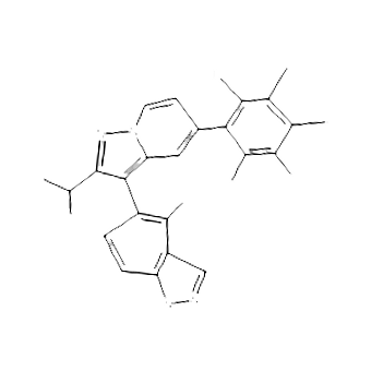 Cc1c(F)c(F)c(F)c(-c2ccn3nc(C(C)C)c(-c4ccc5[nH]ncc5c4F)c3c2)c1F